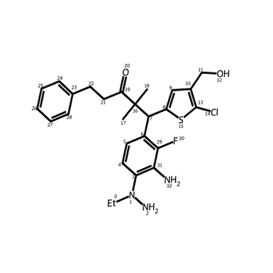 CCN(N)c1ccc(C(c2cc(CO)c(Cl)s2)C(C)(C)C(=O)CCc2ccccc2)c(F)c1N